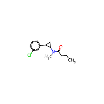 CCCC(=O)N(C)C1CC1c1cccc(Cl)c1